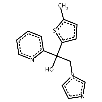 Cc1ccc(C(O)(Cn2ccnc2)c2ccccn2)s1